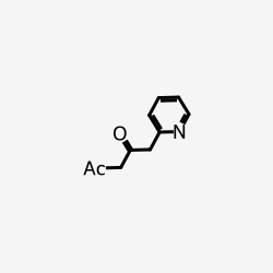 CC(=O)CC(=O)Cc1ccccn1